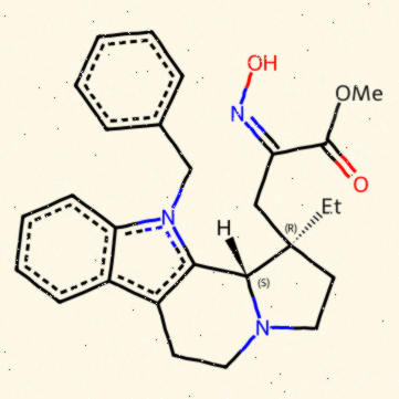 CC[C@]1(CC(=NO)C(=O)OC)CCN2CCc3c(n(Cc4ccccc4)c4ccccc34)[C@@H]21